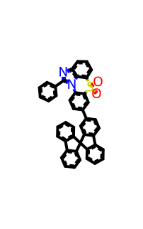 O=S1(=O)c2cc(-c3ccc4c(c3)C3(c5ccccc5-c5ccccc53)c3ccccc3-4)ccc2-n2c(-c3ccccc3)nc3cccc1c32